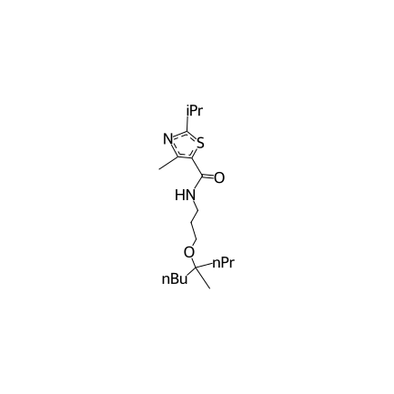 CCCCC(C)(CCC)OCCCNC(=O)c1sc(C(C)C)nc1C